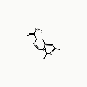 CC1=CC(C)=NC(C)N1/C=N\CC(N)=O